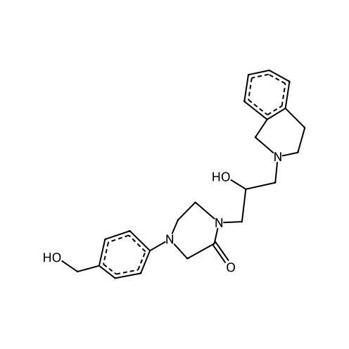 O=C1CN(c2ccc(CO)cc2)CCN1CC(O)CN1CCc2ccccc2C1